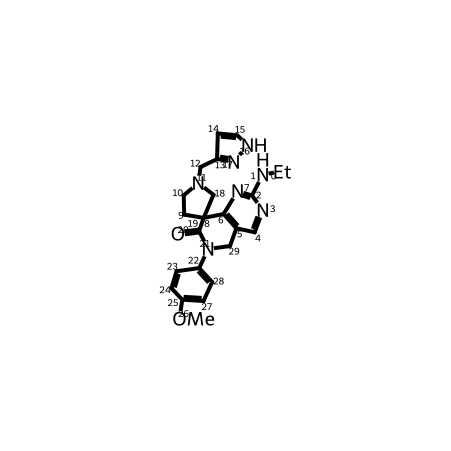 CCNc1ncc2c(n1)C1(CCN(Cc3cc[nH]n3)C1)C(=O)N(c1ccc(OC)cc1)C2